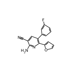 N#Cc1cc(-c2cccc(F)c2)c(-c2ccco2)nc1N